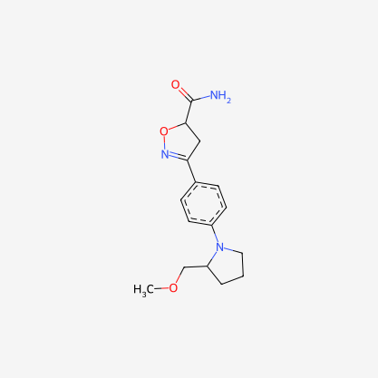 COCC1CCCN1c1ccc(C2=NOC(C(N)=O)C2)cc1